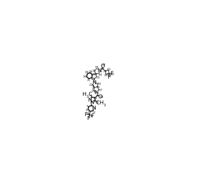 Cc1nn(-c2ccc(C(F)(F)F)cn2)c(C)c1C(=O)N1CC2=CN(CCC3(c4ccccc4)CCN(C(=O)C4CC(F)(F)C4)C3)CC2C1